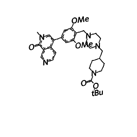 COc1cc(-c2cn(C)c(=O)c3cnccc23)cc(OC)c1CN1CCN(CC2CCN(C(=O)OC(C)(C)C)CC2)CC1